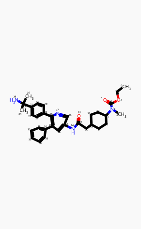 CCOC(=O)N(C)C1CCC(CC(=O)Nc2cnc(-c3ccc(C(C)(C)N)cc3)c(-c3ccccc3)c2)CC1